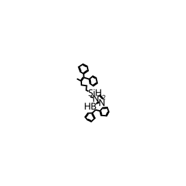 CC(CCC[SiH2]Cn1ccnc1BC(c1ccccc1)c1ccccc1)=C(c1ccccc1)c1ccccc1